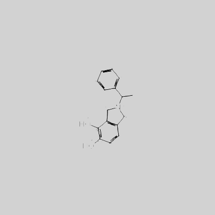 CC(c1ccccc1)N1Cc2ccc(O)c(O)c2C1